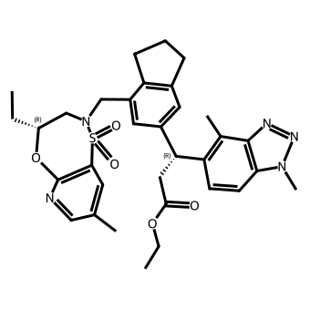 CCOC(=O)C[C@H](c1cc2c(c(CN3C[C@@H](CC)Oc4ncc(C)cc4S3(=O)=O)c1)CCC2)c1ccc2c(nnn2C)c1C